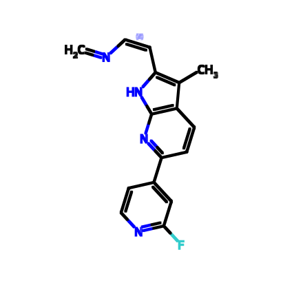 C=N/C=C\c1[nH]c2nc(-c3ccnc(F)c3)ccc2c1C